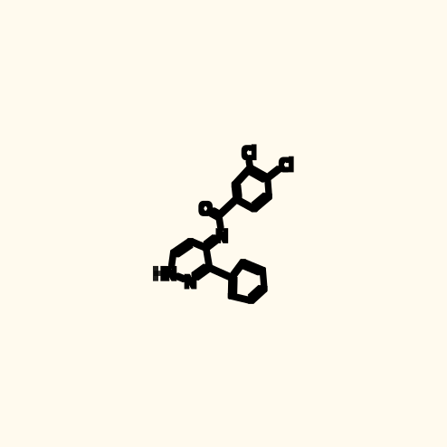 O=C(N=c1cc[nH]nc1-c1ccccc1)c1ccc(Cl)c(Cl)c1